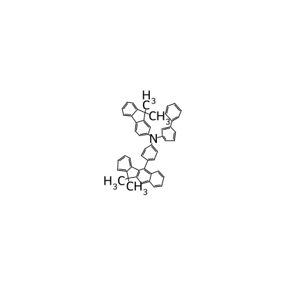 CC1(C)c2ccccc2-c2ccc(N(c3ccc(-c4c5c(cc6ccccc46)C(C)(C)c4ccccc4-5)cc3)c3cccc(-c4ccccc4)c3)cc21